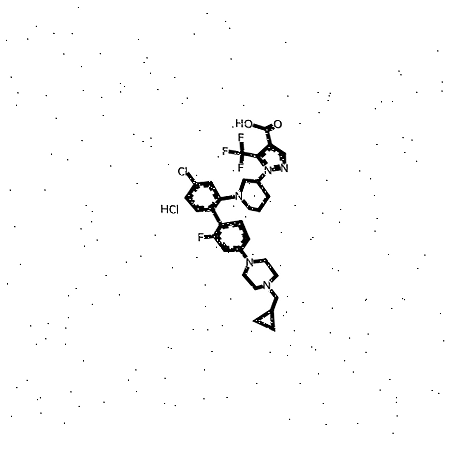 Cl.O=C(O)c1cnn(C2CCCN(c3cc(Cl)ccc3-c3ccc(N4CCN(CC5CC5)CC4)cc3F)C2)c1C(F)(F)F